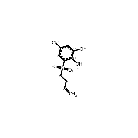 C=CCCS(=O)(=O)c1cc(Cl)cc(Cl)c1O